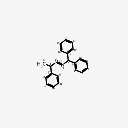 CC(/N=N/C(c1ccccc1)c1ccccc1)c1ccccc1